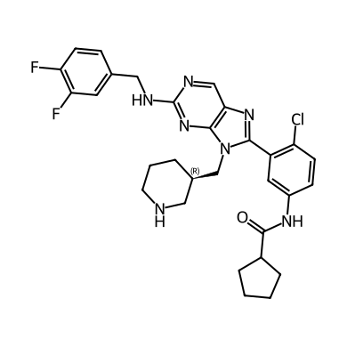 O=C(Nc1ccc(Cl)c(-c2nc3cnc(NCc4ccc(F)c(F)c4)nc3n2C[C@@H]2CCCNC2)c1)C1CCCC1